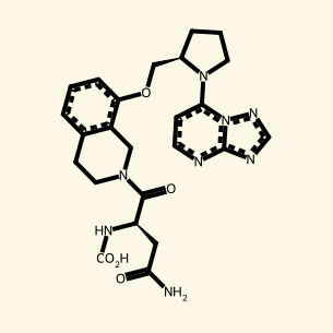 NC(=O)C[C@@H](NC(=O)O)C(=O)N1CCc2cccc(OC[C@H]3CCCN3c3ccnc4ncnn34)c2C1